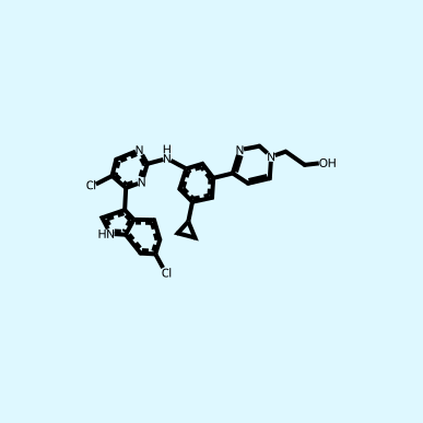 OCCN1C=CC(c2cc(Nc3ncc(Cl)c(-c4c[nH]c5cc(Cl)ccc45)n3)cc(C3CC3)c2)=NC1